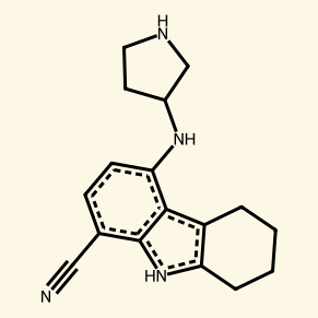 N#Cc1ccc(NC2CCNC2)c2c3c([nH]c12)CCCC3